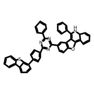 C1=CC2=c3oc4ccc(-c5nc(-c6ccccc6)nc(-c6ccc(-c7cccc8c7sc7ccccc78)cc6)n5)cc4c3=C(c3ccccc3)NC2C=C1